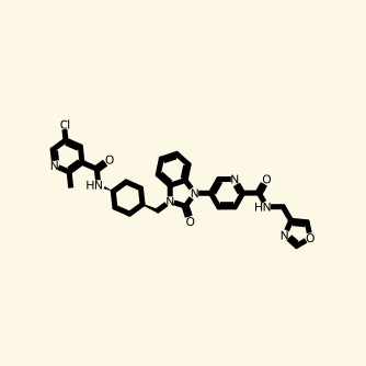 Cc1ncc(Cl)cc1C(=O)N[C@H]1CC[C@H](Cn2c(=O)n(-c3ccc(C(=O)NCc4cocn4)nc3)c3ccccc32)CC1